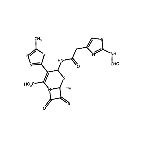 Cc1nnc(C2=C(C(=O)O)N3C(=O)C(=S)[C@@H]3SC2NC(=O)Cc2csc(NC=O)n2)s1